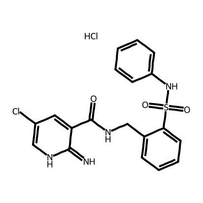 Cl.N=c1[nH]cc(Cl)cc1C(=O)NCc1ccccc1S(=O)(=O)Nc1ccccc1